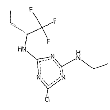 CCNc1nc(Cl)nc(N[C@H](CC)C(F)(F)F)n1